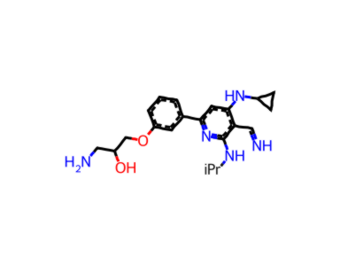 CC(C)Nc1nc(-c2cccc(OCC(O)CN)c2)cc(NC2CC2)c1C=N